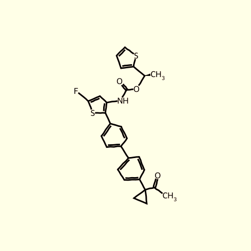 CC(=O)C1(c2ccc(-c3ccc(-c4sc(F)cc4NC(=O)O[C@H](C)c4cccs4)cc3)cc2)CC1